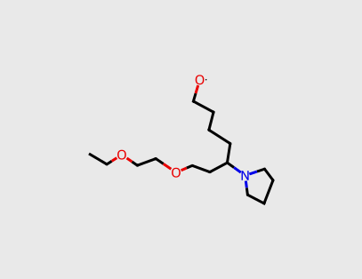 CCOCCOCCC(CCCC[O])N1CCCC1